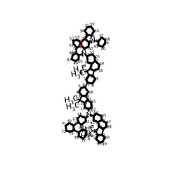 CC1(C)c2ccc(-c3ccc4c(c3)C(C)(C)c3c-4ccc4ccc(N(c5ccc6c7ccccc7n(-c7ccccc7)c6c5)c5ccccc5-c5ccccc5)cc34)cc2-c2ccc(N(c3ccc(-c4ccccc4-c4ccccc4)cc3)c3ccc4ccc5c(c4c3)C(C)(C)c3ccccc3-5)cc21